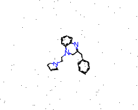 c1ccc(CC2=Nc3ccccc3N(CCN3CCCC3)C2)cc1